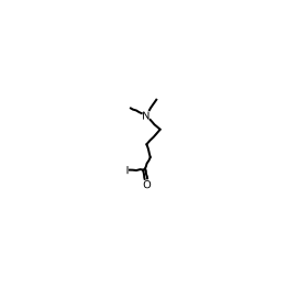 CN(C)CCCC(=O)I